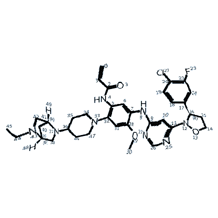 C=CC(=O)Nc1cc(Nc2cc(N3OCC[C@@H]3c3ccc(Cl)c(F)c3)ncn2)c(OC)cc1N1CCC(N2C[C@H]3C[C@@H]2CN3CC)CC1